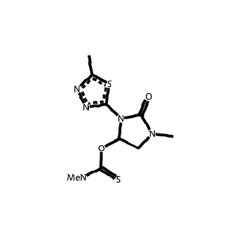 CNC(=S)OC1CN(C)C(=O)N1c1nnc(C)s1